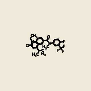 CCn1c(=O)cc(C(C)C)c2cc(C(=O)N(C)c3ccc(F)c(C(F)(F)F)c3)ccc21